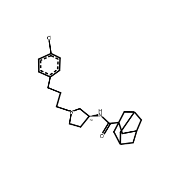 O=C(N[C@H]1CCN(CCCc2ccc(Cl)cc2)C1)C12CC3CC(CC(C3)C1)C2